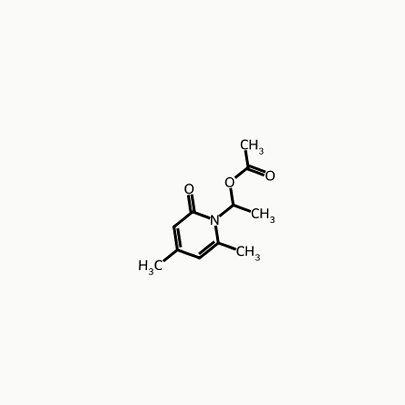 CC(=O)OC(C)n1c(C)cc(C)cc1=O